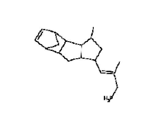 C/C(=C\C1CC(C)C2C1CC1C3C=CC(C3)C12)CP